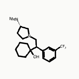 CN[C@H]1CCN(CC(c2cccc(C(F)(F)F)c2)C2(O)CCCCC2)C1